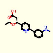 CCO[C@@H](CC(=O)O)c1ccc(-c2cccc(NC)c2)nc1